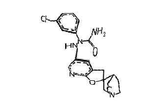 NC(=O)N(Nc1cnc2c(c1)CC1(CN3CCC1CC3)O2)c1cccc(Cl)c1